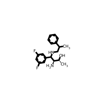 CC(CNC(c1cc(F)cc(F)c1)[C@H](N)[C@@H](C)O)c1ccccc1